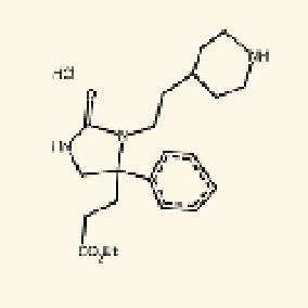 CCOC(=O)CCC1(c2ccccc2)CNC(=O)N1CCC1CCNCC1.Cl